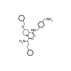 NCc1ccc(CNC(=O)C2CC(OCc3ccccc3)CCN2C(=O)C(N)CCc2ccccc2)cc1